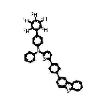 [2H]c1c([2H])c([2H])c(-c2ccc(N(c3ccccc3)c3ccc(-c4ccc(-c5ccc6sc7ccccc7c6c5)cc4)s3)cc2)c([2H])c1[2H]